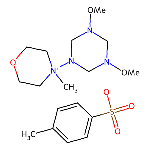 CON1CN(OC)CN([N+]2(C)CCOCC2)C1.Cc1ccc(S(=O)(=O)[O-])cc1